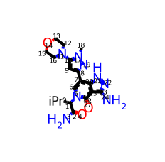 CC(C)C(C(N)=O)n1cc(-c2cc(N3CCOCC3)n(C)n2)c2[nH]nc(N)c2c1=O